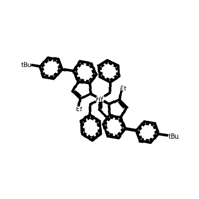 C[CH]=[Hf]([CH2]c1ccccc1)([CH2]c1ccccc1)([CH]1C(CC)=Cc2c(-c3ccc(C(C)(C)C)cc3)cccc21)[CH]1C(CC)=Cc2c(-c3ccc(C(C)(C)C)cc3)cccc21